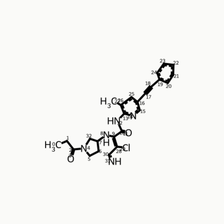 CCC(=O)N1CCC(N/C(C(=O)Nc2ncc(C#Cc3ccccc3)cc2C)=C(/Cl)C=N)C1